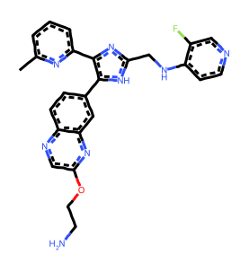 Cc1cccc(-c2nc(CNc3ccncc3F)[nH]c2-c2ccc3ncc(OCCN)nc3c2)n1